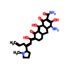 C=CC/C(=C\C(O)=C1/CCC2CC3C(C(=O)C(C(N)=O)=C(O)[C@H]3N)C(O)=C2C1=O)C1CCCN1C